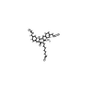 C=C1N(CCCCCCN=C=O)C(=O)N(CC2CCC(CN=C=O)CC2)C(=O)N1CC1CCC(CN=C=O)CC1